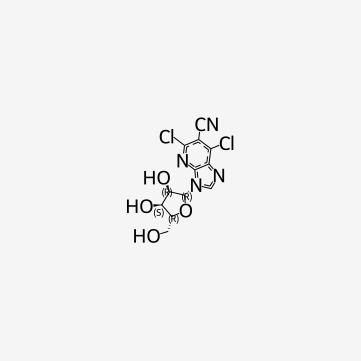 N#Cc1c(Cl)nc2c(ncn2[C@@H]2O[C@H](CO)[C@@H](O)[C@H]2O)c1Cl